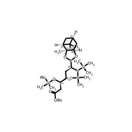 CC(C)COC(=O)C[C@H](CC[C@@H](B1O[C@@H]2C[C@@H]3C[C@@H](C3(C)C)[C@]2(C)O1)N([Si](C)(C)C)[Si](C)(C)C)O[Si](C)(C)C(C)(C)C